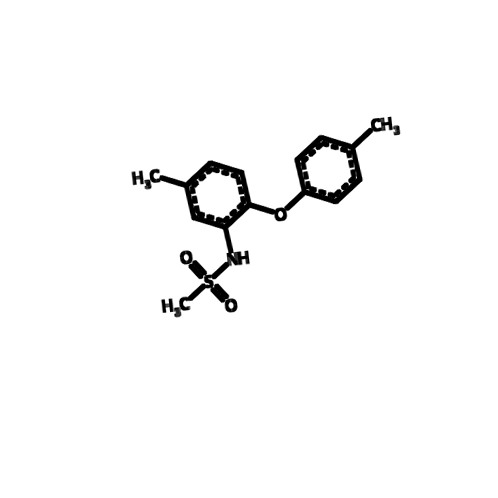 Cc1ccc(Oc2ccc(C)cc2NS(C)(=O)=O)cc1